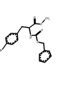 COC(=O)C(Cc1ccc(Br)cc1)NC(=O)OCc1ccccc1